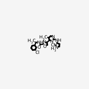 Cc1cnc(Nc2ccnn2C)nc1-c1coc(C(=O)N[C@H](C)c2cccc(Cl)c2)n1